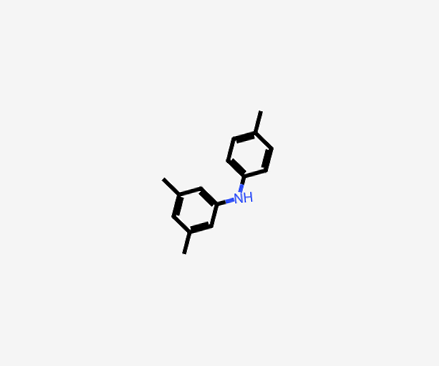 Cc1ccc(Nc2cc(C)cc(C)c2)cc1